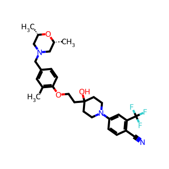 Cc1cc(CN2C[C@@H](C)O[C@@H](C)C2)ccc1OCCC1(O)CCN(c2ccc(C#N)c(C(F)(F)F)c2)CC1